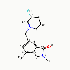 CN1Cc2c(cc(CN3CCCC(F)C3)cc2C(F)(F)F)C1=O